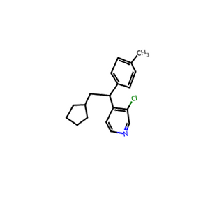 Cc1ccc(C(CC2CCCC2)c2ccncc2Cl)cc1